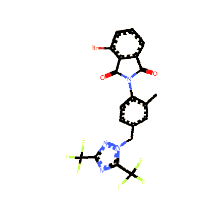 Cc1cc(Cn2nc(C(F)(F)F)nc2C(F)(F)F)ccc1N1C(=O)c2cccc(Br)c2C1=O